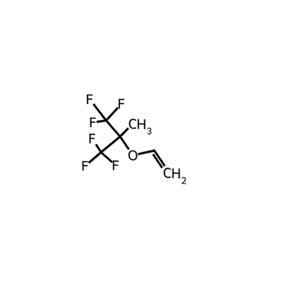 C=COC(C)(C(F)(F)F)C(F)(F)F